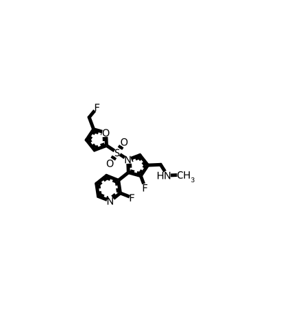 CNCc1cn(S(=O)(=O)c2ccc(CF)o2)c(-c2cccnc2F)c1F